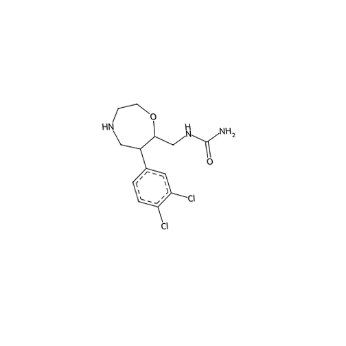 NC(=O)NCC1OCCNCC1c1ccc(Cl)c(Cl)c1